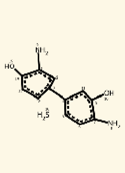 Nc1cc(-c2ccc(N)c(O)c2)ccc1O.S